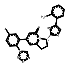 Nc1ccccc1-c1cnc([C@@H]2CCc3cc(-c4cc(Cl)ccc4-n4cnnn4)cc(=O)n32)[nH]1